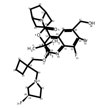 CC(C)(C)OC(=O)N1C2CCC1CN(c1nc(OCC3(CN4CC[C@@H](F)C4)CCC3)nc3c(F)c(Br)c(CO)cc13)C2